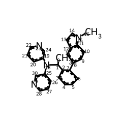 CC(c1ccccc1-c1ccc2c(ccn2C)c1)N(c1cccnc1)c1cccnc1